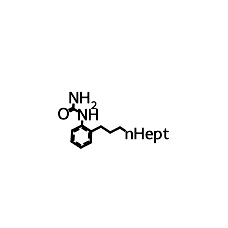 CCCCCCCCCCc1ccccc1NC(N)=O